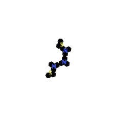 c1ccc(N(c2ccc(-c3ccc(N(c4ccccc4)c4ccc(-c5cccc6c5sc5ccccc56)cc4)cc3)cc2)c2ccc(-c3ccc(N(c4ccccc4)c4ccc(-c5cccc6c5sc5ccccc56)cc4)cc3)cc2)cc1